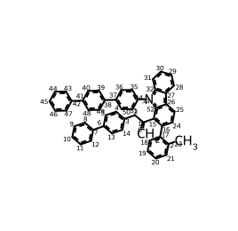 C=C(Cc1ccc(-c2ccccc2)cc1)c1c(-c2ccccc2C)ccc2c3ccccc3n(-c3ccc(-c4ccc(-c5ccccc5)cc4)cc3)c12